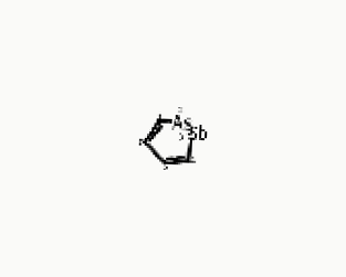 C1=C[As]=[Sb][CH]=C1